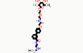 C[C@@H]1O[C@@H](OCCOCCNC(=O)COc2ccc(-c3cccc(C(=O)NCCNC(=O)O)c3)cc2)[C@H](O)[C@H](O)[C@H]1O